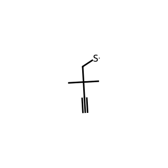 C#CC(C)(C)C[S]